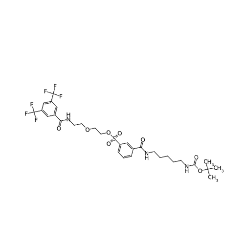 CC(C)(C)OC(=O)NCCCCCNC(=O)c1cccc(S(=O)(=O)OCCOCCNC(=O)c2cc(C(F)(F)F)cc(C(F)(F)F)c2)c1